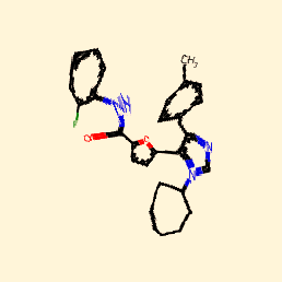 Cc1ccc(-c2ncn(C3CCCCC3)c2-c2ccc(C(=O)Nc3ccccc3F)o2)cc1